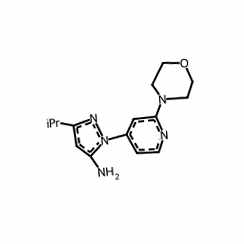 CC(C)c1cc(N)n(-c2ccnc(N3CCOCC3)c2)n1